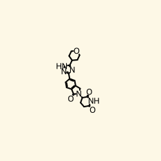 O=C1CCC(N2Cc3cc(-c4n[nH]c(C5CCOCC5)n4)ccc3C2=O)C(=O)N1